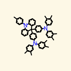 Cc1ccc(N2c3ccccc3C(c3ccc(N(c4ccc(C)c(C)c4)c4ccc(C)c(C)c4)cc3)(c3ccc(N(c4ccc(C)c(C)c4)c4ccc(C)c(C)c4)cc3)c3ccccc32)cc1